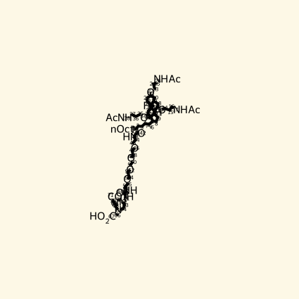 CCCCCCCCN(CCC[C@@H](C)C1CC[C@H]2C3[C@H](OCCCNC(C)=O)CC4C[C@H](OCCCNC(C)=O)CCC4(C)[C@H]3C[C@H](OCCCNC(C)=O)C12C)C(=O)NCCOCCOCCOCCOCCNC(=O)CN1CCN(CC(=O)O)CN(CC(=O)O)C1